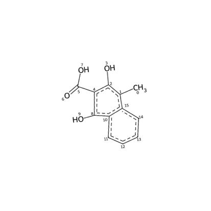 Cc1c(O)c(C(=O)O)c(O)c2ccccc12